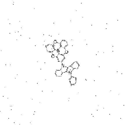 c1ccc(-n2c3ccccc3c3c2c2ccccc2n3-c2cc3c4c(c2)Oc2cccc5c2B4c2c(cccc2O3)O5)cc1